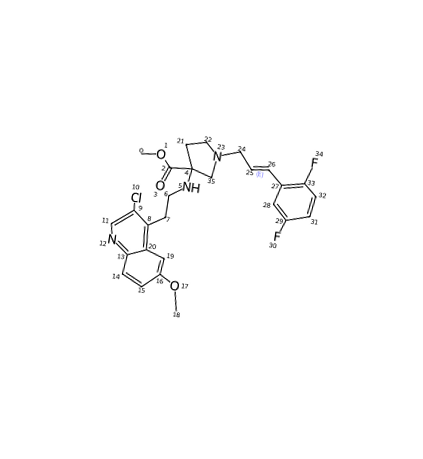 COC(=O)C1(NCCc2c(Cl)cnc3ccc(OC)cc23)CCN(C/C=C/c2cc(F)ccc2F)C1